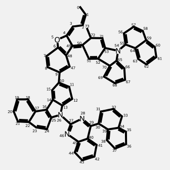 C\C=C/C=c1/oc2ccc(-c3ccc4c(c3)c3c5ccccc5ccc3n4-c3nc(-c4cccc5ccccc45)c4ccccc4n3)cc2/c1=C1\C=c2c(n(-c3cccc4ccccc34)c3ccccc23)=CC1C